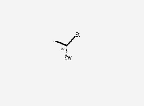 [CH2][C@@H](C#N)CC